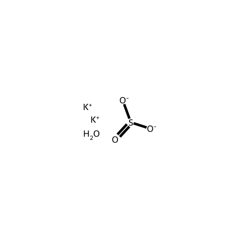 O.O=S([O-])[O-].[K+].[K+]